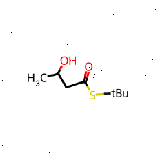 CC(O)CC(=O)SC(C)(C)C